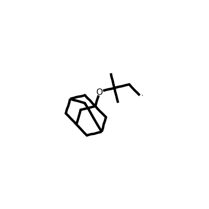 [CH2]CC(C)(C)OC12CC3CC(CC(C3)C1)C2